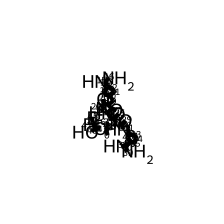 CCCC[C@H](NC(=O)C(Cc1ccc(C(=N)N)cc1)C(=O)N(C)C)C(=O)N(C)C(=O)NCc1cccc(C(=N)N)c1.O=C(O)C(F)(F)F